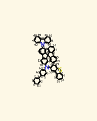 c1ccc(-c2ccc(N(c3ccc4c(c3)C3(c5ccccc5-c5ccccc53)c3cc(-n5c6ccccc6c6ccccc65)ccc3-4)c3ccc4sc5ccccc5c4c3)cc2)cc1